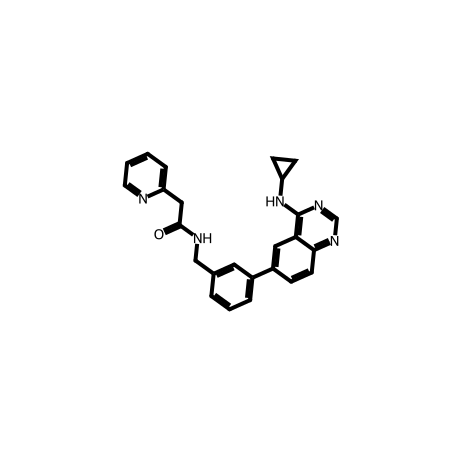 O=C(Cc1ccccn1)NCc1cccc(-c2ccc3ncnc(NC4CC4)c3c2)c1